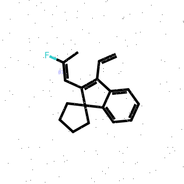 C=CC1=C(/C=C(\C)F)C2(CCCC2)c2ccccc21